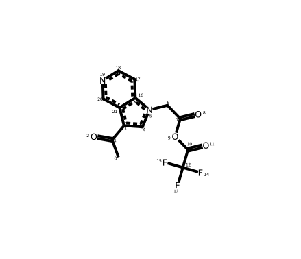 CC(=O)c1cn(CC(=O)OC(=O)C(F)(F)F)c2ccncc12